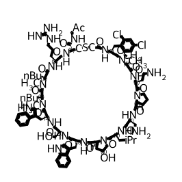 CCCC[C@H]1C(=O)N(C)[C@@H](CCCC)C(=O)N[C@@H](CCCNC(=N)N)C(=O)N[C@H](C(=O)NCC(C)=O)CSCC(=O)N[C@@H](Cc2ccc(Cl)cc2Cl)C(=O)N(C)[C@@H](C)C(=O)N[C@@H](CC(N)=O)C(=O)N2CCC[C@H]2C(=O)N[C@@H](CN)C(=O)N[C@@H](CC(C)C)C(=O)N2C[C@H](O)C[C@H]2C(=O)N[C@@H](Cc2c[nH]c3ccccc23)C(=O)N[C@@H](CO)C(=O)N[C@@H](Cc2c[nH]c3ccccc23)C(=O)N1C